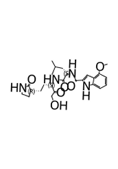 COc1cccc2[nH]c(C(=O)N[C@@H](CC(C)C)C(=O)N[C@@H](CC[C@@H]3CCNC3=O)C(=O)CO)cc12